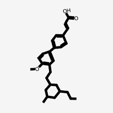 CCCC1CC(C)CC(CCc2cc(-c3ccc(/C=C/C(=O)O)cc3)ccc2OC)C1